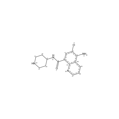 Nc1c(Cl)cc(C(=O)NC2CCNCC2)c2ncccc12